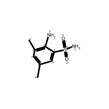 Cc1cc(C)c(N)c(S(N)(=O)=O)c1